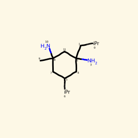 CC(C)CC1(N)CC(C(C)C)CC(C)(N)C1